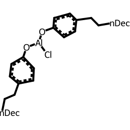 CCCCCCCCCCCCc1ccc([O][Al]([Cl])[O]c2ccc(CCCCCCCCCCCC)cc2)cc1